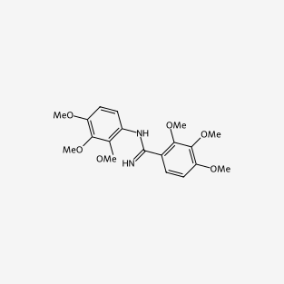 COc1ccc(NC(=N)c2ccc(OC)c(OC)c2OC)c(OC)c1OC